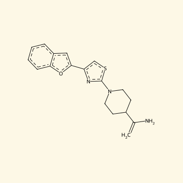 C=C(N)C1CCN(c2nc(-c3cc4ccccc4o3)cs2)CC1